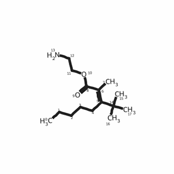 CCCCCC(=C(C)C(=O)OCCN)C(C)(C)C